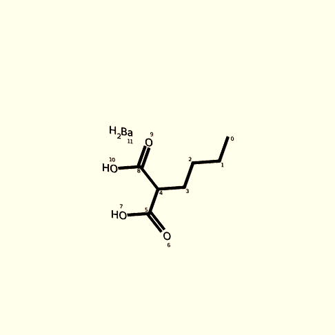 CCCCC(C(=O)O)C(=O)O.[BaH2]